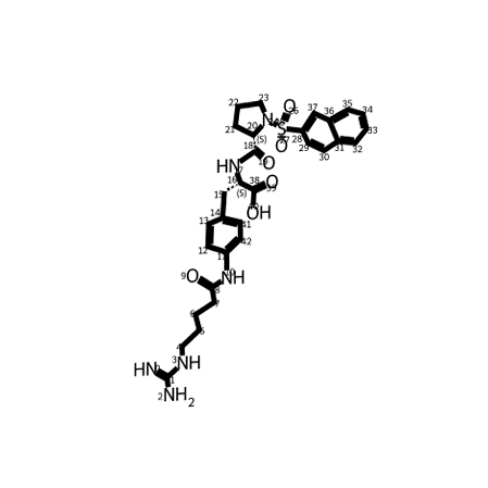 N=C(N)NCCCCC(=O)Nc1ccc(C[C@H](NC(=O)[C@@H]2CCCN2S(=O)(=O)c2ccc3ccccc3c2)C(=O)O)cc1